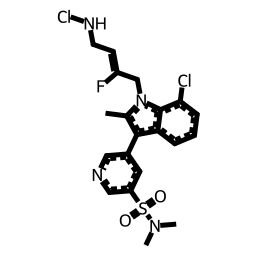 Cc1c(-c2cncc(S(=O)(=O)N(C)C)c2)c2cccc(Cl)c2n1C/C(F)=C/CNCl